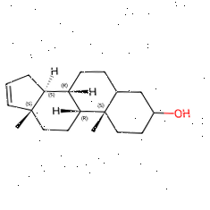 C[C@@]12C=CC[C@H]1[C@@H]1CCC3CC(O)CC[C@]3(C)[C@@H]1CC2